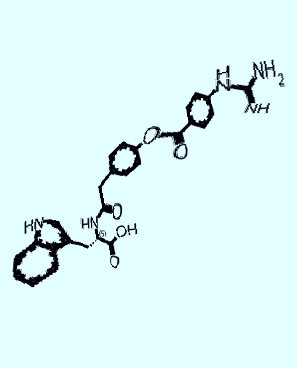 N=C(N)Nc1ccc(C(=O)Oc2ccc(CC(=O)N[C@@H](Cc3c[nH]c4ccccc34)C(=O)O)cc2)cc1